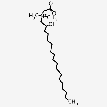 CCCCCCCCCCCCCCCCC(O)C[N+](C)(C)CC(=O)[O-]